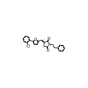 O=C1S/C(=C\c2ccc(-c3ccccc3Cl)o2)C(=O)N1CCc1ccccc1